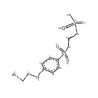 CC(C)CCOc1ccc(S(=O)(=O)CCCS(C)(=O)=O)cc1